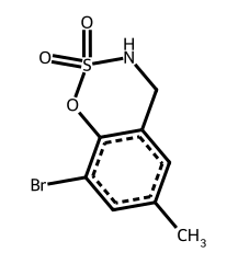 Cc1cc(Br)c2c(c1)CNS(=O)(=O)O2